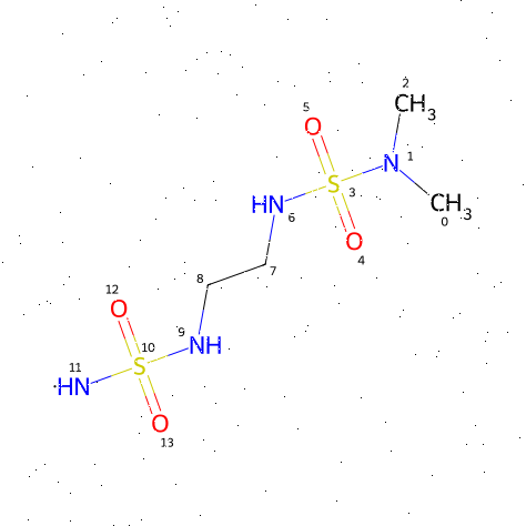 CN(C)S(=O)(=O)NCCNS([NH])(=O)=O